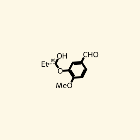 CC[C@H](O)Oc1cc(C=O)ccc1OC